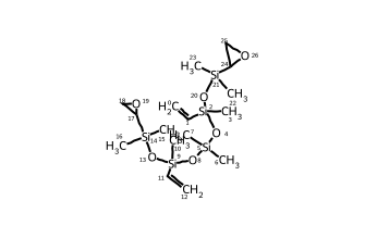 C=C[Si](C)(O[Si](C)(C)O[Si](C)(C=C)O[Si](C)(C)C1CO1)O[Si](C)(C)C1CO1